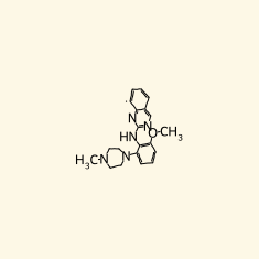 COc1cccc(N2CCN(C)CC2)c1Nc1ncc2ccc[c]c2n1